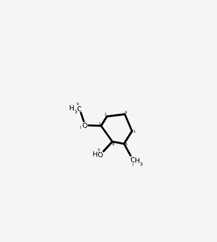 COC1CCCC(C)C1O